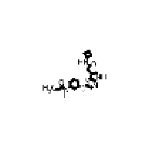 C=CC(=O)Nc1cccc(Oc2cnc3[nH]cc(CC(=O)NC4CCC4)c3n2)c1